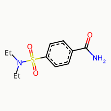 CCN(CC)S(=O)(=O)c1ccc(C(N)=O)cc1